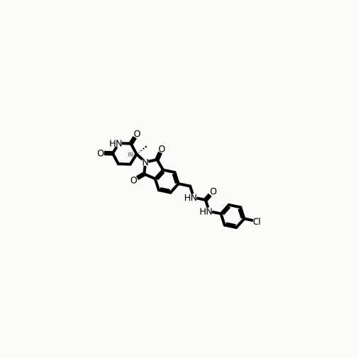 C[C@]1(N2C(=O)c3ccc(CNC(=O)Nc4ccc(Cl)cc4)cc3C2=O)CCC(=O)NC1=O